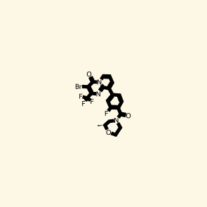 C[C@@H]1CN(C(=O)c2ccc(-c3cccn4c(=O)c(Br)c(C(F)(F)F)nc34)cc2F)CCO1